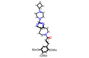 COc1cc(OC)c(OC)cc1/C=C/C(=O)N1CCc2cnc(N3CCN(C4CCC4)CC3)nc2CC1